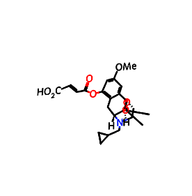 COc1cc(OC(=O)/C=C/C(=O)O)c2c(c1)[C@]13CCN(CC4CC4)[C@H](C2)[C@@H]1OC(C)(C)OC3